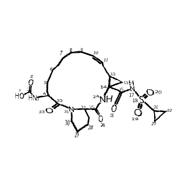 O=C(O)NC1CCCCCC=CC2CC2(C(=O)NS(=O)(=O)C2CC2)NC(=O)C2CCCN2C1=O